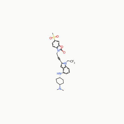 CN(C)[C@H]1CC[C@H](Nc2cccc3c2cc(C#CCn2c(=O)oc4cc(S(C)(=O)=O)ccc42)n3CC(F)(F)F)CC1